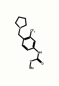 CC(C)(C)OC(=O)Nc1ccc(CN2CCCC2)c(C(F)(F)F)c1